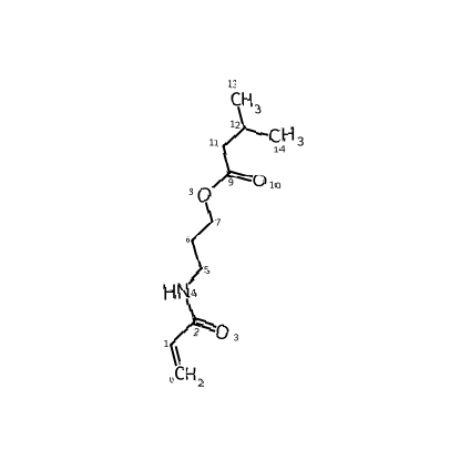 C=CC(=O)NCCCOC(=O)CC(C)C